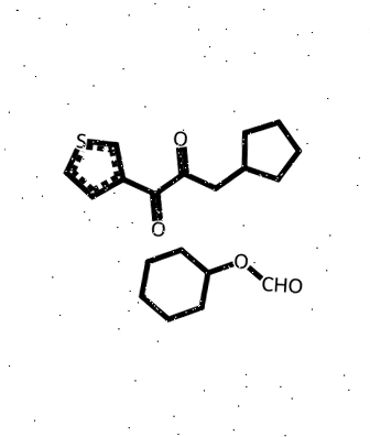 O=C(CC1CCCC1)C(=O)c1ccsc1.O=COC1CCCCC1